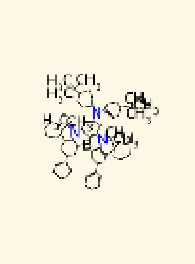 CC(C)(C)C1CC=C(N(C2=CCC(C(C)(C)C)CC2)C2CC3=C4B(C5=CC(C6=CCCC=C6)CC6=C5N3C(C)(C)C63CCCCC3)C3CC(C5CCCCC5)CC5C3N(C4C2)C(C)(C)C52CCCCC2)CC1